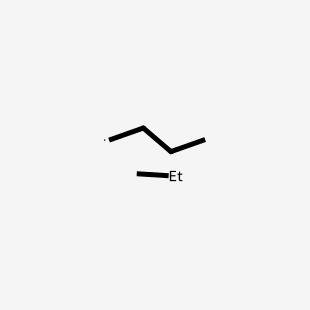 CCC.[CH2]CCC